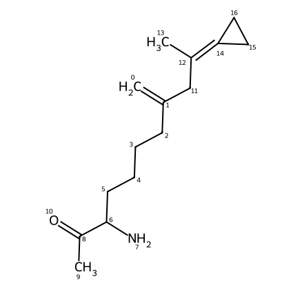 C=C(CCCCC(N)C(C)=O)CC(C)=C1CC1